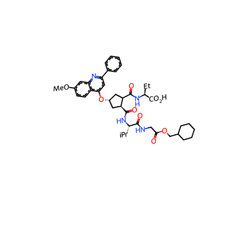 CC[C@H](NC(=O)C1C[C@@H](Oc2cc(-c3ccccc3)nc3cc(OC)ccc23)C[C@@H]1C(=O)N[C@H](C(=O)NCC(=O)OCC1CCCCC1)C(C)C)C(=O)O